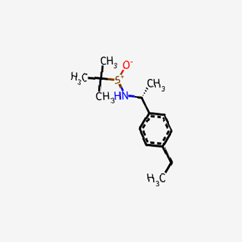 CCc1ccc([C@@H](C)N[S+]([O-])C(C)(C)C)cc1